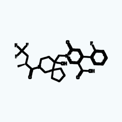 C[C@H](CC(F)(F)F)C(=O)N1CCC(O)(Cn2cc(C(=O)O)c(-c3ccccc3F)cc2=O)C2(CCCC2)C1